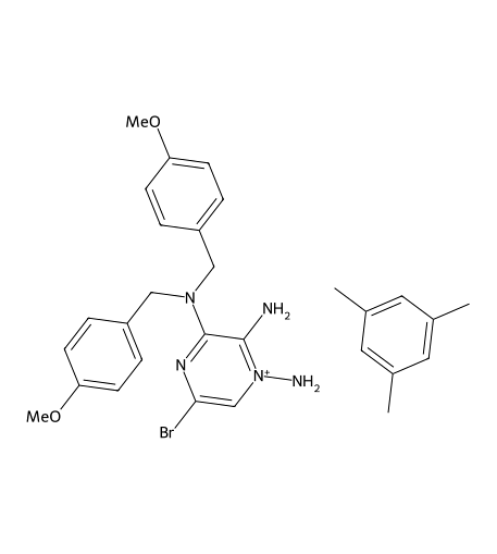 COc1ccc(CN(Cc2ccc(OC)cc2)c2nc(Br)c[n+](N)c2N)cc1.Cc1cc(C)cc(C)c1